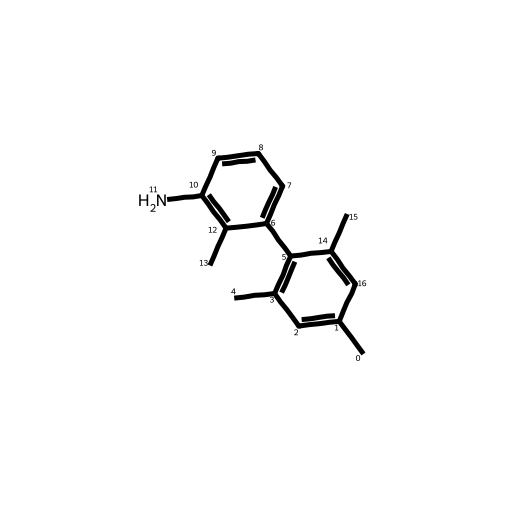 Cc1cc(C)c(-c2cccc(N)c2C)c(C)c1